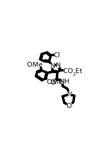 CCOC(=O)c1nn(-c2ccccc2Cl)c(-c2c(OC)cccc2OC)c1C(=O)NCCN1CCOCC1